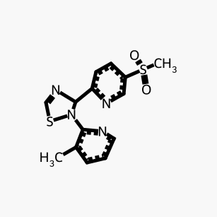 Cc1cccnc1N1SC=NC1c1ccc(S(C)(=O)=O)cn1